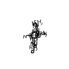 B[PH]1(OCCC#N)OC[C@H]2O[C@@H](n3cnc4c(NC(=O)c5ccccc5)ncnc43)[C@H](F)[C@@H]2OP(=O)(OCCC#N)OC[C@H]2O[C@@H](n3cnc4c(C)ncnc43)[C@H](F)[C@@H]2O1